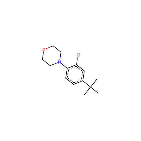 CC(C)(C)c1ccc(N2CCOCC2)c(Cl)c1